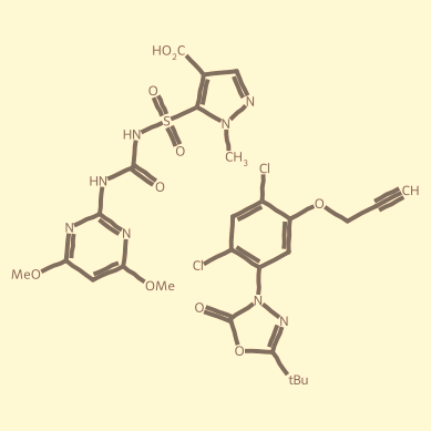 C#CCOc1cc(-n2nc(C(C)(C)C)oc2=O)c(Cl)cc1Cl.COc1cc(OC)nc(NC(=O)NS(=O)(=O)c2c(C(=O)O)cnn2C)n1